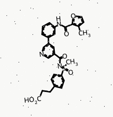 Cc1ccoc1C(=O)Nc1cccc(-c2cncc(C(=O)N=S(C)(=O)c3ccc(CCC(=O)O)cc3)c2)c1